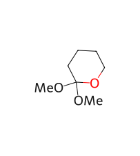 COC1(OC)CCCCO1